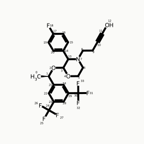 C[C@@H](OC1OCCN(CCC#CO)C1c1ccc(F)cc1)c1cc(C(F)(F)F)cc(C(F)(F)F)c1